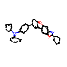 c1ccc(-c2nc3cc4oc5ccc(-c6ccc(N(c7ccccc7)c7ccccc7)cc6)cc5c4cc3o2)cc1